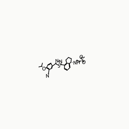 CC(C)Oc1ccc(-c2nnc(-c3cccc4c3CCC[C@@H]4NCCS(C)(=O)=O)s2)cc1C#N